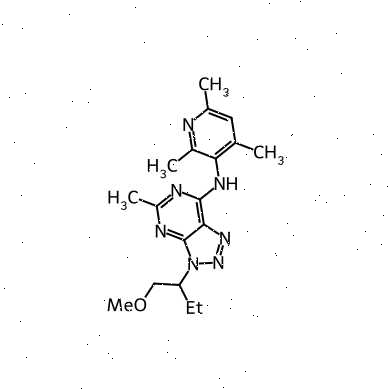 CCC(COC)n1nnc2c(Nc3c(C)cc(C)nc3C)nc(C)nc21